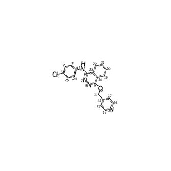 Clc1ccc(Nc2nnc(OCc3ccncc3)c3ccccc23)cc1